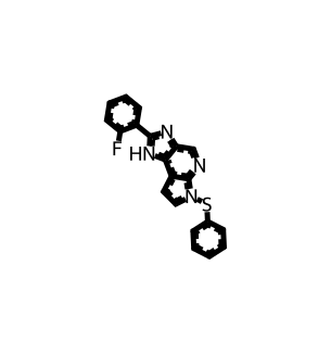 Fc1ccccc1-c1nc2cnc3c(ccn3Sc3ccccc3)c2[nH]1